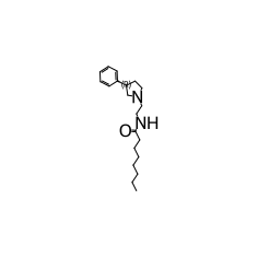 CCCCCCCC(=O)NCCN1CC[C@H](c2ccccc2)C1